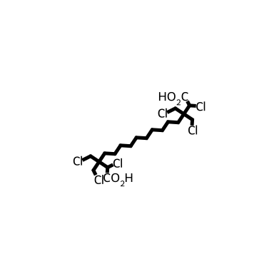 O=C(O)C(Cl)C(CCl)(CCl)CCCCCCCCCCC(CCl)(CCl)C(Cl)C(=O)O